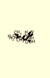 CC(C)CC(C)(N)COC1=CNC(NC(=O)O)(c2ccncc2)C=C1